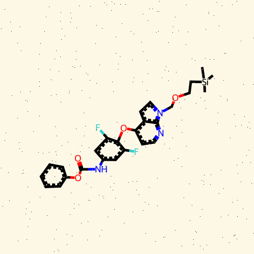 C[Si](C)(C)CCOCn1ccc2c(Oc3c(F)cc(NC(=O)Oc4ccccc4)cc3F)ccnc21